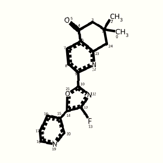 CC1(C)CC(=O)c2ccc(-c3nc(F)c(-c4cccnc4)o3)nc2C1